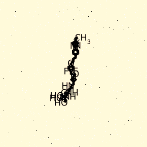 CCc1cnc(N2CCC(CCCOc3cc(F)c(CC(=O)N4CC(CNCCNC(=O)NC(CO)(CO)CO)C4)c(F)c3)CC2)nc1